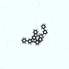 c1ccc(-c2cccc(-c3nc(-n4c5ccccc5c5cc6c7cc(-c8ccccc8)ccc7n7c8ccccc8c(c54)c67)c4ccccc4n3)c2)cc1